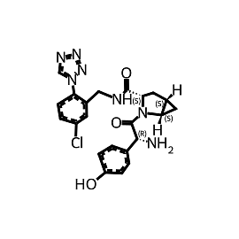 N[C@@H](C(=O)N1[C@H](C(=O)NCc2cc(Cl)ccc2-n2cnnn2)C[C@@H]2C[C@@H]21)c1ccc(O)cc1